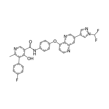 Cc1ncc(C(=O)Nc2ccc(Oc3ccnc4cc(-c5cnn(C(F)F)c5)cnc34)cc2)c(O)c1-c1ccc(F)cc1